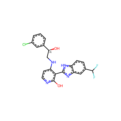 Oc1nccc(NC[C@H](O)c2cccc(Cl)c2)c1-c1nc2cc(C(F)F)ccc2[nH]1